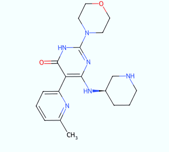 Cc1cccc(-c2c(N[C@@H]3CCCNC3)nc(N3CCOCC3)[nH]c2=O)n1